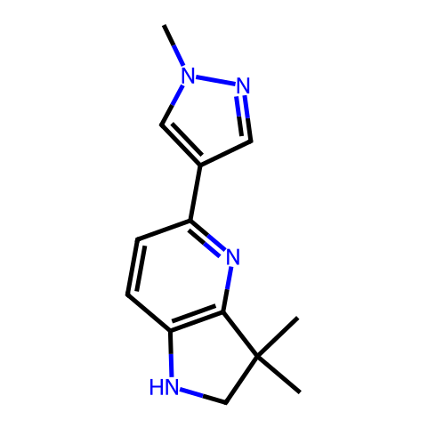 Cn1cc(-c2ccc3c(n2)C(C)(C)CN3)cn1